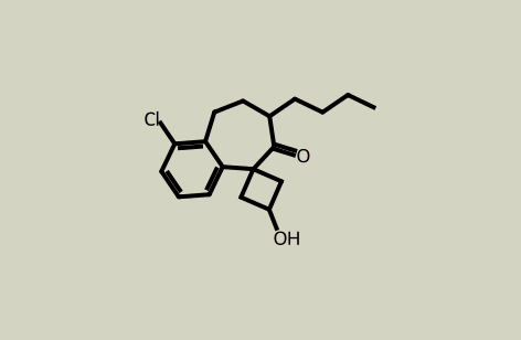 CCCCC1CCc2c(Cl)cccc2C2(CC(O)C2)C1=O